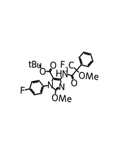 COc1nc(NC(=O)C(OC)(c2ccccc2)C(F)(F)F)c(C(=O)OC(C)(C)C)n1-c1ccc(F)cc1